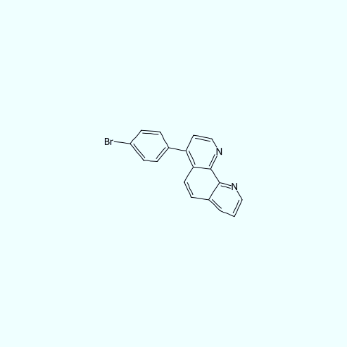 Brc1ccc(-c2ccnc3c2ccc2cccnc23)cc1